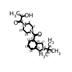 CC(O)C(=O)N1CCN(C(=O)c2cccc3c2CN(C(C)(C)C)C3)CC1